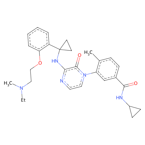 CCN(C)CCOc1ccccc1C1(Nc2nccn(-c3cc(C(=O)NC4CC4)ccc3C)c2=O)CC1